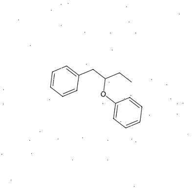 CCC(Cc1ccccc1)Oc1ccccc1